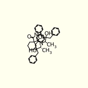 C[C@@H](N(C(=O)C1(C(N)=O)CCCCC1)[C@H](C)C(O)(Cc1ccccc1)Cc1ccccc1)C(O)(Cc1ccccc1)Cc1ccccc1